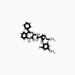 CCn1ncc(C(=O)NC2N=C(c3ccccc3)c3ccccc3NC2=O)c1Oc1c(F)cc(C)cc1F